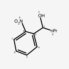 CCCC(O)c1ccccc1[N+](=O)[O-]